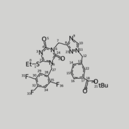 CCSc1nc(=O)n(Cc2ncn(Cc3cccc(C(=O)OC(C)(C)C)c3)n2)c(=O)n1Cc1cc(F)c(F)cc1F